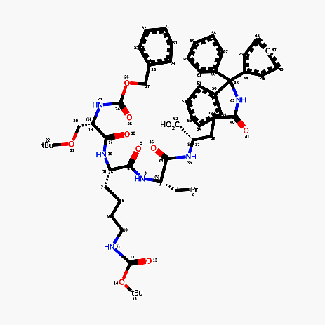 CC(C)C[C@H](NC(=O)[C@H](CCCCNC(=O)OC(C)(C)C)NC(=O)[C@H](COC(C)(C)C)NC(=O)OCc1ccccc1)C(=O)N[C@@H](CCC(=O)NC(c1ccccc1)(c1ccccc1)c1ccccc1)C(=O)O